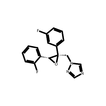 Fc1cccc([C@@]2(Cn3[c]ncn3)O[C@@H]2c2ccccc2F)c1